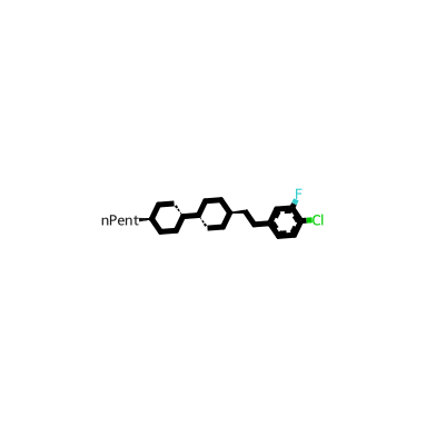 CCCCC[C@H]1CC[C@H]([C@H]2CC[C@H](CCc3ccc(Cl)c(F)c3)CC2)CC1